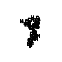 CSc1ccc(S(=O)(=O)C[C@@H]2C[C@H](NCC(C)C)CC[C@@H]2N2CC[C@H](NC(=O)Nc3cccc(C(F)(F)F)c3)C2=O)cc1